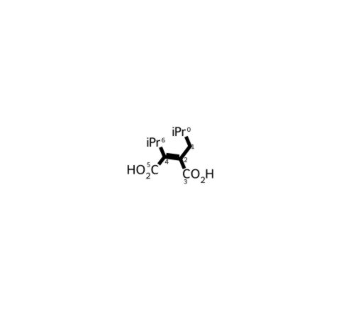 CC(C)CC(C(=O)O)=C(C(=O)O)C(C)C